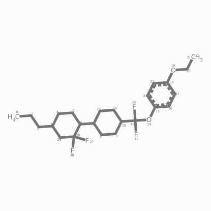 CCCC1CCC(C2CCC(C(F)(F)Oc3ccc(OCC)cc3)CC2)C(F)(F)C1